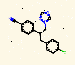 N#Cc1ccc(C(Cc2ccc(Cl)cc2)Cn2cncn2)cc1